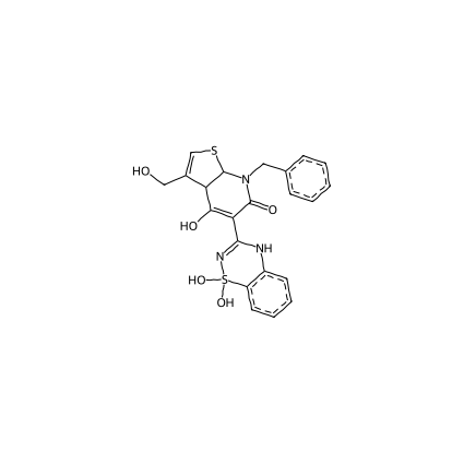 O=C1C(C2=NS(O)(O)c3ccccc3N2)=C(O)C2C(CO)=CSC2N1Cc1ccccc1